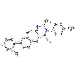 CCCc1nc(C)n(-c2ccc(OCC(C)C)cc2)c(=O)c1Cc1ccc(-c2ccccc2C#N)cc1